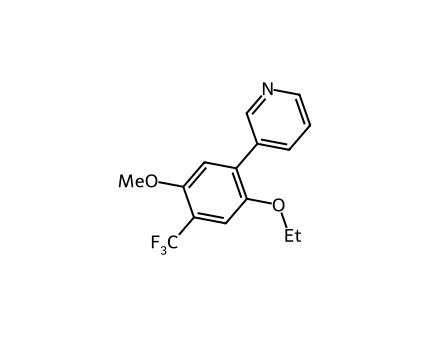 CCOc1cc(C(F)(F)F)c(OC)cc1-c1cccnc1